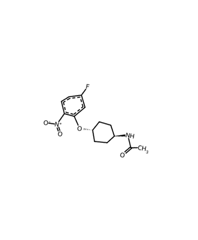 CC(=O)N[C@H]1CC[C@H](Oc2cc(F)ccc2[N+](=O)[O-])CC1